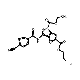 CCCOC(=O)c1cc2c(o1)c(NC(=O)c1ccc(C#N)cc1)nn2C(=O)OCC